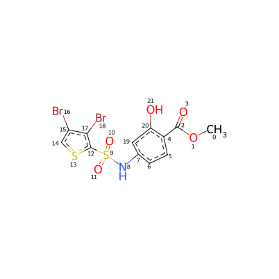 COC(=O)c1ccc(NS(=O)(=O)c2scc(Br)c2Br)cc1O